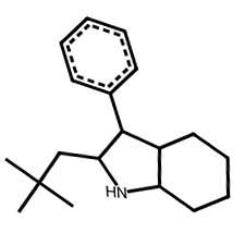 CC(C)(C)CC1NC2CCCCC2C1c1ccccc1